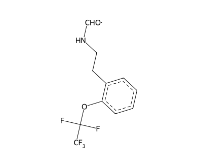 O=[C]NCCc1ccccc1OC(F)(F)C(F)(F)F